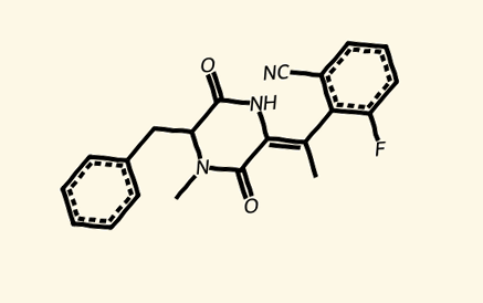 CC(=C1NC(=O)C(Cc2ccccc2)N(C)C1=O)c1c(F)cccc1C#N